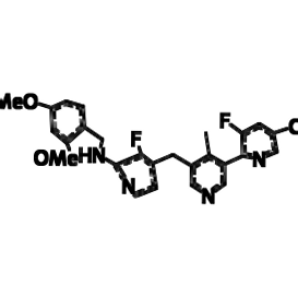 COc1ccc(CNc2nccc(Cc3cncc(-c4ncc(Cl)cc4F)c3C)c2F)c(OC)c1